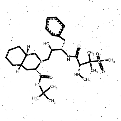 CN[C@H](C(=O)N[C@@H](Cc1ccccc1)[C@H](O)CN1C[C@H]2CCCC[C@H]2C[C@H]1C(=O)NC(C)(C)C)C(C)(C)S(C)(=O)=O